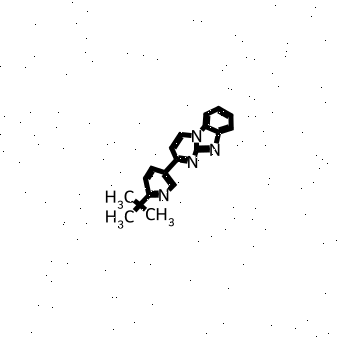 CC(C)(C)c1ccc(-c2ccn3c(n2)nc2ccccc23)cn1